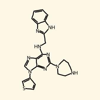 c1ccc2[nH]c(CNc3nc(N4CCNCC4)nc4c3ncn4-c3ccsc3)nc2c1